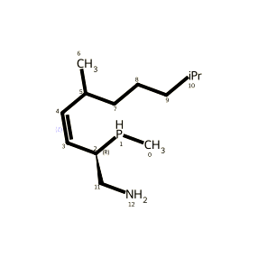 CP[C@H](/C=C\C(C)CCCC(C)C)CN